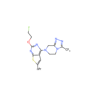 CCCc1cc2c(N3CCn4c(nnc4C(F)(F)F)C3)nc(OCCF)nc2s1